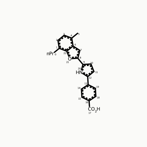 CCCc1ccc(C)c2cc(-c3ccc(-c4ccc(C(=O)O)cc4)[nH]3)oc12